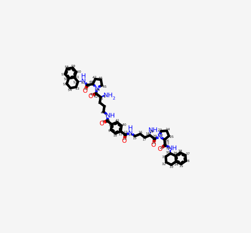 N[C@@H](CCCNC(=O)c1ccc(C(=O)NCCC[C@H](N)C(=O)N2CCCC2C(=O)N[C@@H]2CCCc3ccccc32)cc1)C(=O)N1CCCC1C(=O)N[C@@H]1CCCc2ccccc21